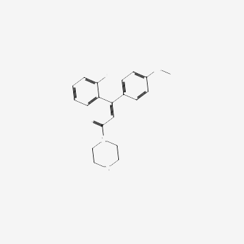 COc1ccc(/C(=C/C(=O)N2CCNCC2)c2ccccc2Cl)cc1